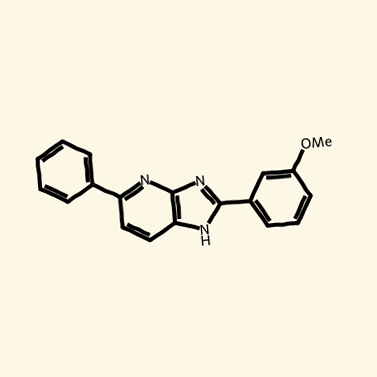 COc1cccc(-c2nc3nc(-c4ccccc4)ccc3[nH]2)c1